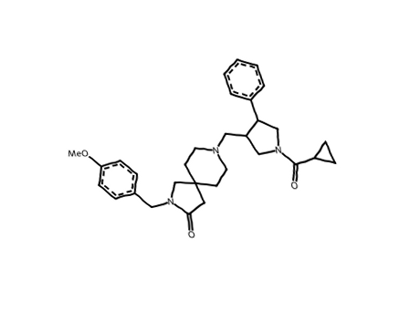 COc1ccc(CN2CC3(CCN(CC4CN(C(=O)C5CC5)CC4c4ccccc4)CC3)CC2=O)cc1